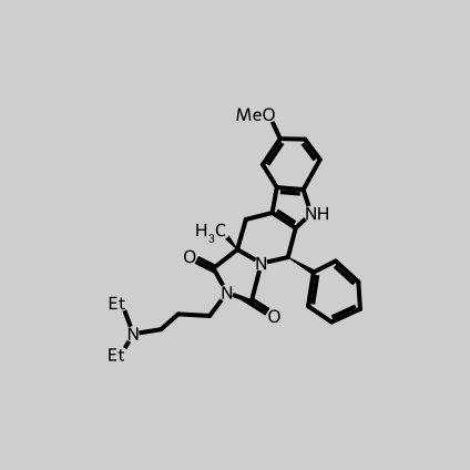 CCN(CC)CCCN1C(=O)N2[C@H](c3ccccc3)c3[nH]c4ccc(OC)cc4c3C[C@@]2(C)C1=O